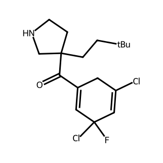 CC(C)(C)CCC1(C(=O)C2=CC(F)(Cl)C=C(Cl)C2)CCNC1